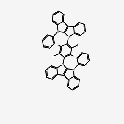 Fc1c(F)c(-n2c3ccccc3c3c4ccccc4n(-c4ccccc4)c32)c(F)c(F)c1-n1c2ccccc2c2c3ccccc3n(-c3ccccc3)c21